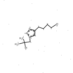 CCC(C)(C)Cn1cc(CCCCCl)nn1